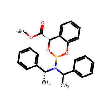 CCCCOC(=O)[C@H]1OP(N([C@H](C)c2ccccc2)[C@H](C)c2ccccc2)Oc2ccccc21